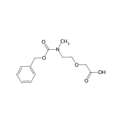 CN(CCOCC(=O)O)C(=O)OCc1ccccc1